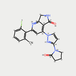 N#Cc1cccc(F)c1-c1cc(-n2ccc(N3CCCC3=O)n2)c2c(n1)CNC2=O